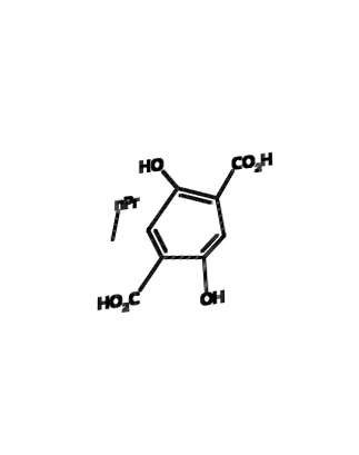 CCCC.O=C(O)c1cc(O)c(C(=O)O)cc1O